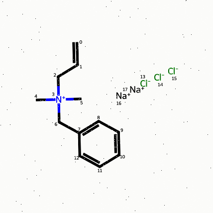 C=CC[N+](C)(C)Cc1ccccc1.[Cl-].[Cl-].[Cl-].[Na+].[Na+]